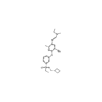 CCN(C)C=Nc1cc(Br)c(Oc2cccc(S(=O)(CC)=NCC3CCC3)c2)nc1C